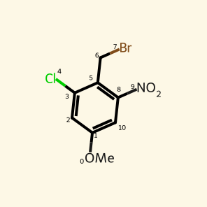 COc1cc(Cl)c(CBr)c([N+](=O)[O-])c1